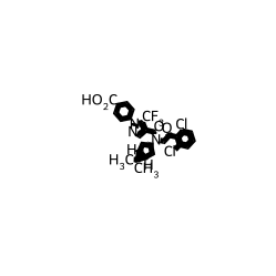 CC1(C)[C@@H]2C[C@H](N(CC(=O)c3c(Cl)cccc3Cl)C(=O)c3cnn([C@H]4CC[C@H](C(=O)O)CC4)c3C(F)(F)F)C[C@@H]21